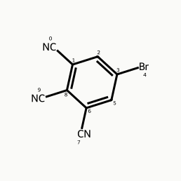 N#Cc1cc(Br)cc(C#N)c1C#N